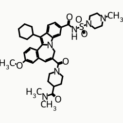 COc1ccc2c(c1)C=C(C(=O)N1CCC(C(=O)N(C)C)CC1)Cn1c-2c(C2CCCCC2)c2ccc(C(=O)NS(=O)(=O)N3CCN(C)CC3)cc21